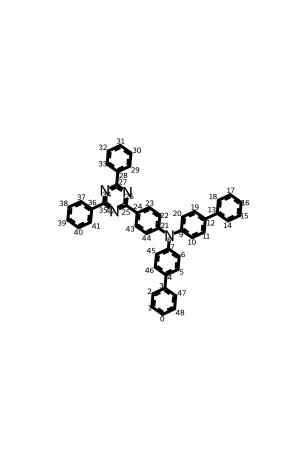 c1ccc(-c2ccc(N(c3ccc(-c4ccccc4)cc3)c3ccc(-c4nc(-c5ccccc5)nc(-c5ccccc5)n4)cc3)cc2)cc1